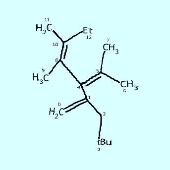 C=C(CC(C)(C)C)C(=C(C)C)/C(C)=C(/C)CC